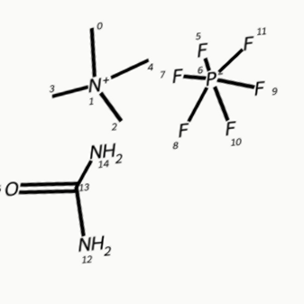 C[N+](C)(C)C.F[P-](F)(F)(F)(F)F.NC(N)=O